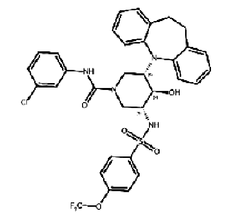 O=C(Nc1cccc(Cl)c1)N1C[C@@H](NS(=O)(=O)c2ccc(OC(F)(F)F)cc2)[C@H](O)[C@@H](N2c3ccccc3CCc3ccccc32)C1